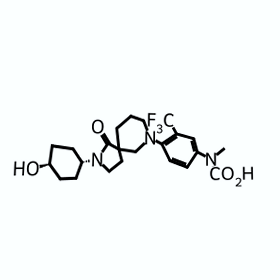 CN(C(=O)O)c1ccc(N2CCCC3(CCN([C@H]4CC[C@H](O)CC4)C3=O)C2)c(C(F)(F)F)c1